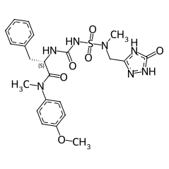 COc1ccc(N(C)C(=O)[C@H](Cc2ccccc2)NC(=O)NS(=O)(=O)N(C)Cc2n[nH]c(=O)[nH]2)cc1